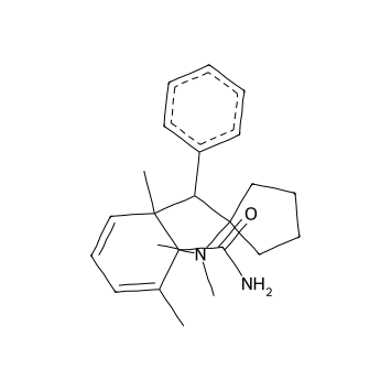 CC1=CC=CC(C)(C(c2ccccc2)C2(N(C)C)CCCC2)C1C(N)=O